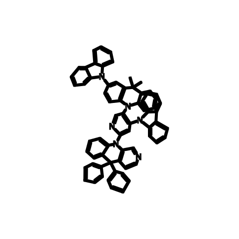 CC1(C)c2ccccc2N(c2cnc(N3c4ccccc4C(c4ccccc4)(c4ccccc4)c4ccncc43)cc2-n2c3ccccc3c3ccccc32)c2ccc(-n3c4ccccc4c4ccccc43)cc21